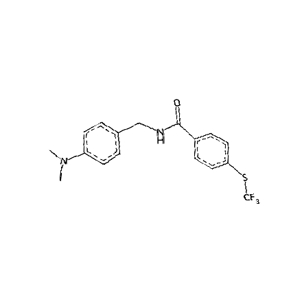 CN(C)c1ccc(CNC(=O)c2ccc(SC(F)(F)F)cc2)cc1